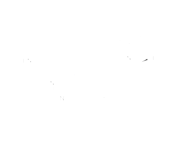 C[C@H]1CCc2c(ccc(/C(C=N)=C/NC3CNC3)c2OC2CCC2)N1C(=O)C1CC1